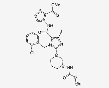 COC(=O)c1sccc1NC(=O)c1c(I)nc(N2CCC[C@@H](NC(=O)OC(C)(C)C)C2)n1Cc1ccccc1Cl